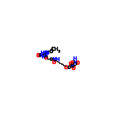 Cc1cccc(/C=N/Nc2cc(N3CCOCC3)nc(OCCc3ccc(NC(=O)CCCCCCCCCOc4ccc5c(c4)C(=O)N(C4CCC(=O)NC4=O)C5=O)cc3)n2)c1